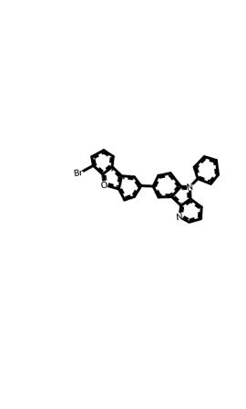 Brc1cccc2c1oc1ccc(-c3ccc4c(c3)c3ncccc3n4-c3ccccc3)cc12